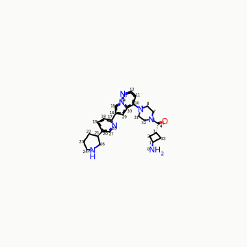 N[C@H]1C[C@H](C(=O)N2CCN(c3ccnn4cc(-c5ccc([C@@H]6CCCNC6)cn5)cc34)CC2)C1